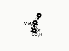 COc1cc(OCc2ccccc2)cc(C)c1C(=O)Oc1c(C)c(C)c(C(=O)O)c(C)c1Br